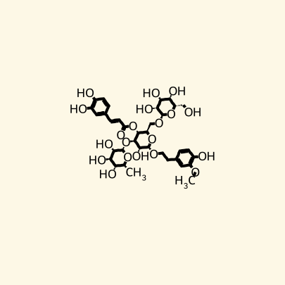 COc1cc(CCO[C@@H]2O[C@H](CO[C@@H]3O[C@@H](CO)[C@@H](O)[C@H](O)[C@H]3O)[C@@H](OC(=O)/C=C/c3ccc(O)c(O)c3)[C@H](O[C@@H]3O[C@@H](C)[C@H](O)[C@@H](O)[C@H]3O)[C@H]2O)ccc1O